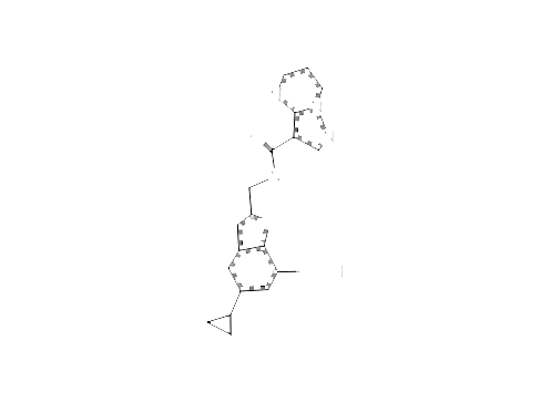 O=C(O)c1cc(C2CC2)cc2cc(CNC(=O)c3cnn4cccnc34)oc12